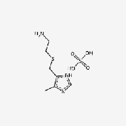 Cc1nc[nH]c1CSCCN.O=S(=O)(O)O